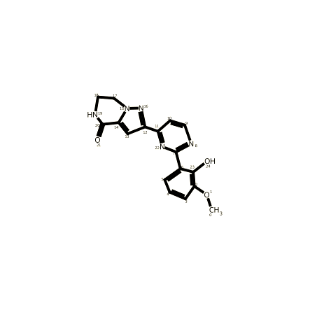 COc1cccc(-c2nccc(-c3cc4n(n3)CCNC4=O)n2)c1O